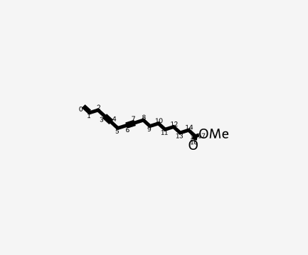 C=CCC#CCC#CCCCCCCCC(=O)OC